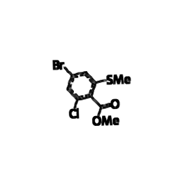 COC(=O)c1c(Cl)cc(Br)cc1SC